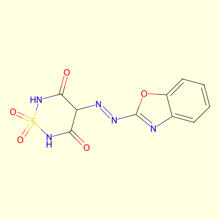 O=C1NS(=O)(=O)NC(=O)C1N=Nc1nc2ccccc2o1